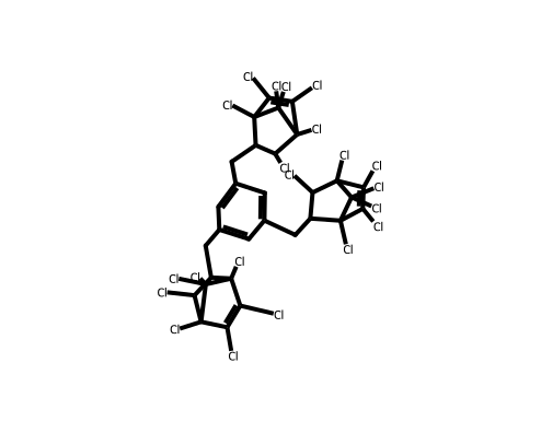 ClC1=C(Cl)C2(Cl)C(Cc3cc(CC4C(Cl)C5(Cl)C(Cl)=C(Cl)C4(Cl)C5(Cl)Cl)cc(CC4C(Cl)C5(Cl)C(Cl)=C(Cl)C4(Cl)C5(Cl)Cl)c3)C(Cl)C1(Cl)C2(Cl)Cl